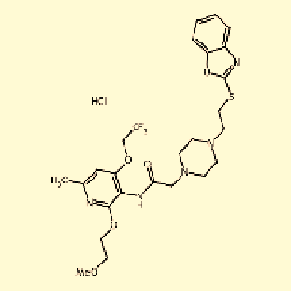 COCCOc1nc(C)cc(OCC(F)(F)F)c1NC(=O)CN1CCN(CCSc2nc3ccccc3o2)CC1.Cl